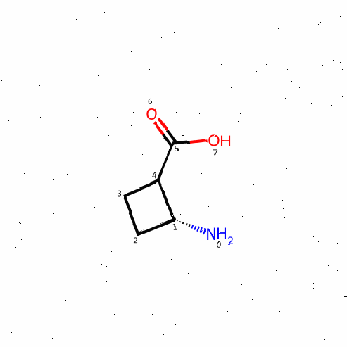 N[C@@H]1CCC1C(=O)O